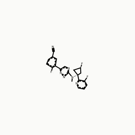 CN(c1ncc(-c2cc(C#N)ccc2F)nn1)[C@]1(c2ncccc2F)C[C@@H](F)C1